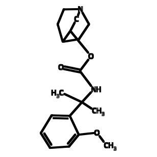 COc1ccccc1C(C)(C)NC(=O)OC1CN2CCC1CC2